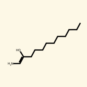 CCCCCCCCCCC(O)=CN